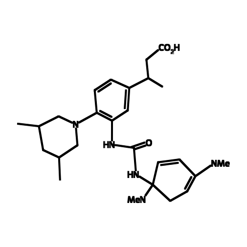 CNC1=CCC(NC)(NC(=O)Nc2cc(C(C)CC(=O)O)ccc2N2CC(C)CC(C)C2)C=C1